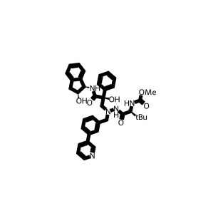 COC(=O)N[C@H](C(=O)NN(Cc1cccc(-c2cccnc2)c1)C[C@](O)(C(=O)N[C@H]1c2ccccc2C[C@H]1O)c1ccccc1)C(C)(C)C